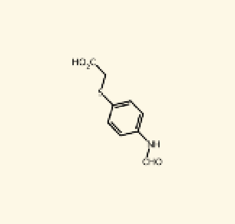 O=CNc1ccc(SCC(=O)O)cc1